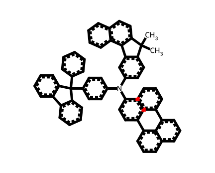 CC1(C)c2ccc(N(c3ccc(-c4cccc5cccc(-c6ccccc6)c45)cc3)c3ccc(C4(c5ccccc5)c5ccccc5-c5ccccc54)cc3)cc2-c2c1ccc1ccccc21